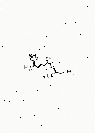 CCC(C)=CCCC(C)CC=CC(C)=CCN